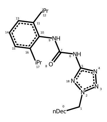 CCCCCCCCCCCn1nnc(NC(=O)Nc2c(C(C)C)cccc2C(C)C)n1